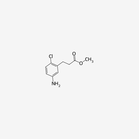 COC(=O)CCc1cc(N)ccc1Cl